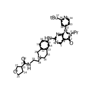 CC(C)n1c(=O)c2cnc(Nc3ccc4c(c3)CCN(CCNC(=O)C3CCOC3)C4)nc2n1-c1ccnc(C(C)(C)C)c1